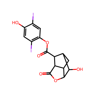 O=C(Oc1cc(I)c(O)cc1I)C1C2CC3C(OC(=O)C31)C2O